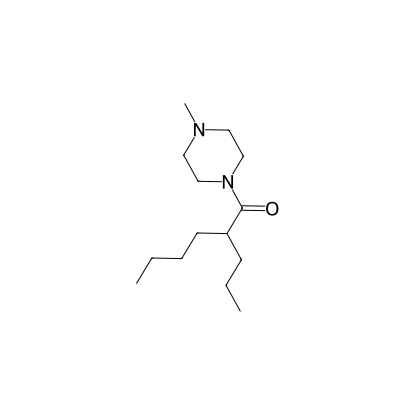 CCCCC(CCC)C(=O)N1CCN(C)CC1